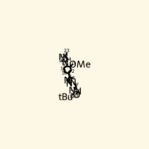 COC1C=C(c2cn(Cc3noc(C(C)(C)C)n3)nn2)C=CC1n1cnc(C)c1